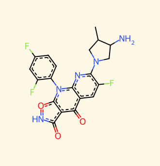 CC1CN(c2nc3c(cc2F)c(=O)c2c(=O)[nH]oc2n3-c2ccc(F)cc2F)CC1N